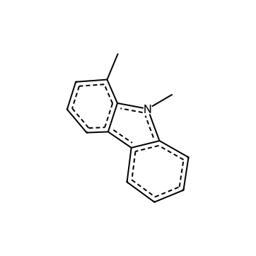 Cc1cccc2c3ccccc3n(C)c12